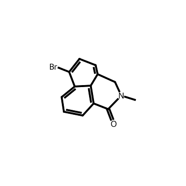 CN1Cc2ccc(Br)c3cccc(c23)C1=O